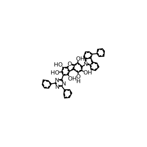 Oc1c(-c2nc(-c3ccccc3)nc(-c3ccccc3)n2)c(O)c2c(oc3c(O)c(-n4c5ccccc5c5c(-c6ccccc6)cccc54)c(O)c(O)c32)c1O